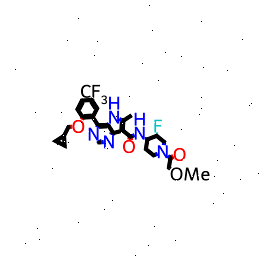 COCC(=O)N1CC[C@H](NC(=O)c2c(C)[nH]c3c(-c4cc(C(F)(F)F)ccc4OCC4CC4)ncnc23)[C@H](F)C1